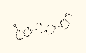 COc1cccc(N2CCN(CC(N)c3nc4c(Cl)cccc4s3)CC2)c1